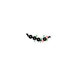 CCCOc1c(F)cc(OC(F)(F)c2ccc(-c3c(F)cc(-c4ccc(CCC)cc4)cc3F)cc2)cc1F